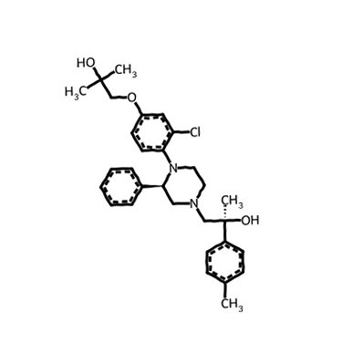 Cc1ccc([C@](C)(O)CN2CCN(c3ccc(OCC(C)(C)O)cc3Cl)[C@H](c3ccccc3)C2)cc1